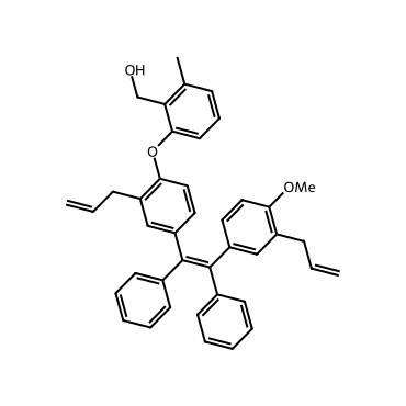 C=CCc1cc(/C(=C(/c2ccccc2)c2ccc(Oc3cccc(C)c3CO)c(CC=C)c2)c2ccccc2)ccc1OC